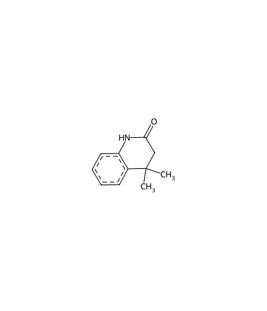 CC1(C)CC(=O)Nc2cc[c]cc21